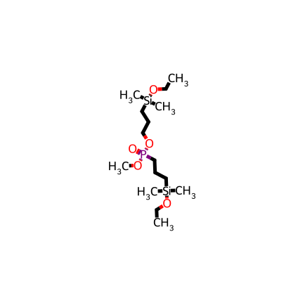 CCO[Si](C)(C)CCCOP(=O)(CCC[Si](C)(C)OCC)OC